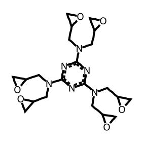 C1OC1CN(CC1CO1)c1nc(N(CC2CO2)CC2CO2)nc(N(CC2CO2)CC2CO2)n1